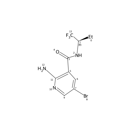 CC[C@@H](NC(=O)c1cc(Br)cnc1N)C(F)(F)F